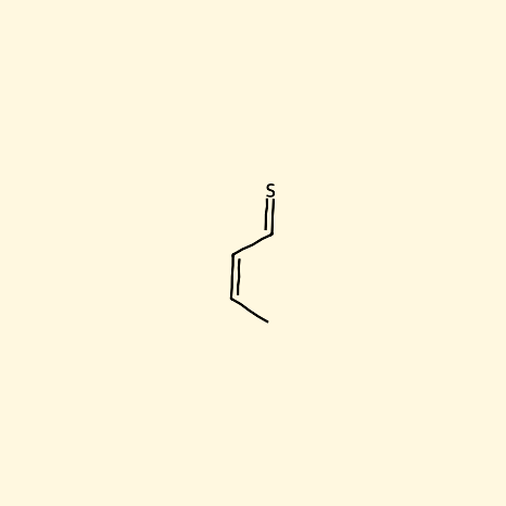 C/C=C\C=S